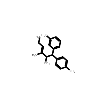 CCC=C(C)C(N)C(c1ccc(C)cc1)c1cccc(C)c1